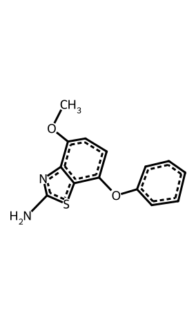 COc1ccc(Oc2ccccc2)c2sc(N)nc12